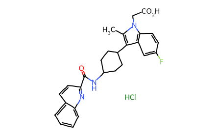 Cc1c(C2CCC(NC(=O)c3ccc4ccccc4n3)CC2)c2cc(F)ccc2n1CC(=O)O.Cl